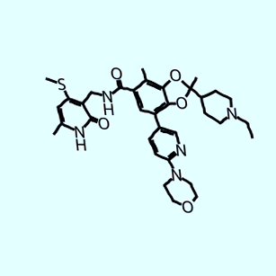 CCN1CCC(C2(C)Oc3c(-c4ccc(N5CCOCC5)nc4)cc(C(=O)NCc4c(SC)cc(C)[nH]c4=O)c(C)c3O2)CC1